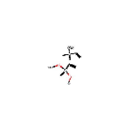 C=C[Si](C)(C)OC.C=C[Si](C)(OCCCC)OCCCC